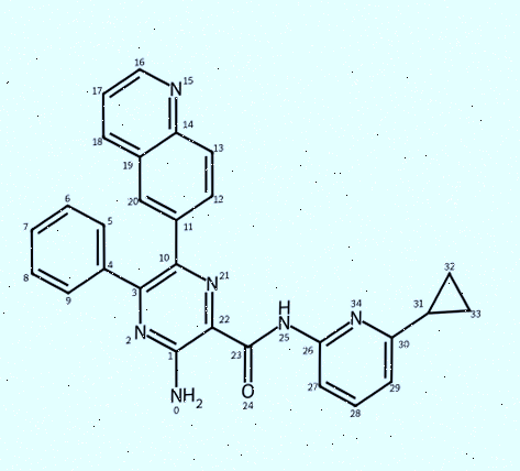 Nc1nc(-c2ccccc2)c(-c2ccc3ncccc3c2)nc1C(=O)Nc1cccc(C2CC2)n1